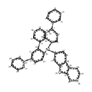 c1ccc(-c2ccc(N(c3ccc4c(c3)oc3cnccc34)c3ccc(-c4ccccc4)cc3-c3ccccc3)cc2)cc1